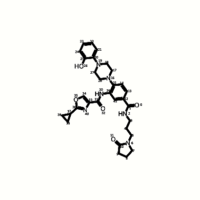 O=C(NCCCN1CCCC1=O)c1ccc(N2CCN(c3ccccc3O)CC2)c(NC(=O)c2coc(C3CC3)n2)c1